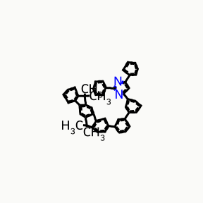 CC1(C)c2ccccc2-c2cc3c(cc21)-c1cc(-c2cccc(-c4cccc(-c5cc(-c6ccccc6)nc(-c6ccccc6)n5)c4)c2)ccc1C3(C)C